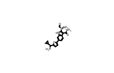 NC(=O)c1c(N(N)C=O)[nH]c2cc(-c3ccc(C(N)C4CC4)o3)ccc12